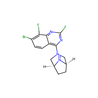 Fc1nc(N2C[C@H]3CC[C@@H](C2)N3)c2ccc(Br)c(F)c2n1